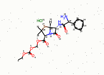 CCOC(=O)OCOC(=O)[C@@H]1N2C(=O)[C@@H](NC(=O)C(N)c3ccccc3)[C@H]2SC1(C)C.Cl